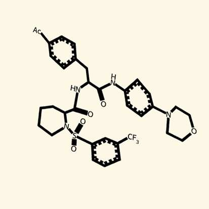 CC(=O)c1ccc(CC(NC(=O)C2CCCCN2S(=O)(=O)c2cccc(C(F)(F)F)c2)C(=O)Nc2ccc(N3CCOCC3)cc2)cc1